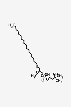 CCCCCCCCCCCCCCCCCCSCC(COP(=O)(O)OCC[N+](C)(C)C)OC